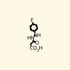 O=C(O)CC(=O)NNc1ccc(F)cc1